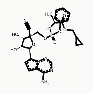 C[C@H](N[P@@](=O)(OC[C@@]1(C#N)O[C@@H](c2ccc3c(N)ncnn23)[C@H](O)[C@@H]1O)Oc1ccccc1)C(=O)OCC1CC1